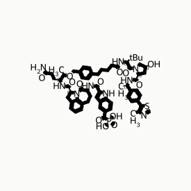 Cc1ncsc1-c1ccc([C@H](C)NC(=O)[C@@H]2C[C@@H](O)CN2C(=O)[C@@H](NC(=O)CCCCc2ccc(CO[C@H](C)[C@H](CCC(N)=O)NC(=O)[C@@H]3Cc4cccc5c4N3C(=O)[C@@H](NC(=O)c3cc4cc(C(=O)P(=O)(O)O)ccc4[nH]3)CC5)cc2)C(C)(C)C)cc1